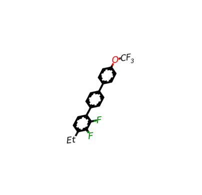 CCc1ccc(-c2ccc(-c3ccc(OC(F)(F)F)cc3)cc2)c(F)c1F